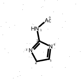 CC(=O)NC1=NCC=N1